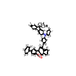 CC1(C)c2ccccc2-c2ccc(N(c3ccccc3)c3ccc(-c4cc5c6cc(-c7ccccc7)ccc6oc5c5ccccc45)cc3)cc21